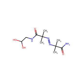 CC(C)(N=NC(C)(C)C(=O)NCC(O)O)C(N)=O